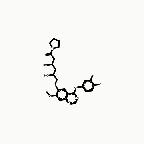 COc1cc2ncnc(Nc3ccc(F)c(Cl)c3)c2cc1OCC(O)CC(O)CC(=O)N1CCCC1